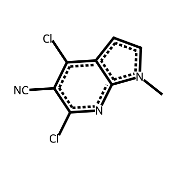 Cn1ccc2c(Cl)c(C#N)c(Cl)nc21